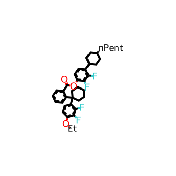 CCCCCC1CCC(c2ccc(OC(=O)c3ccccc3C3(c4ccc(OCC)c(F)c4F)CCCCC3)c(F)c2F)CC1